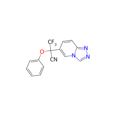 N#CC(Oc1ccccc1)(c1ccc2nncn2c1)C(F)(F)F